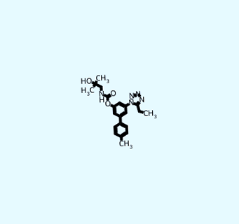 CCc1nnnn1-c1cc(OC(=O)NCC(C)(C)O)cc(-c2ccc(C)cc2)c1